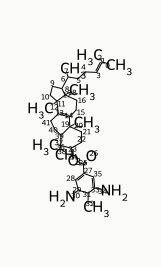 CC(C)=CCCC(C)C1CCC2(C)C3=C(CCC12C)C1(C)CCC(OC(=O)C2=CC(N)C(C)C(N)=C2)C(C)(C)C1CC3